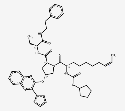 C/C=C\CCCCC[C@H](NC(=O)OC1CCCC1)C(=O)N1C[C@H](Oc2nc3ccccc3nc2-c2cccs2)C[C@H]1C(=O)N[C@@H](CC)C(=O)NCCc1ccccc1